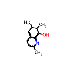 Cc1ccc2c(n1)=C(O)C(C)C(C)C=2